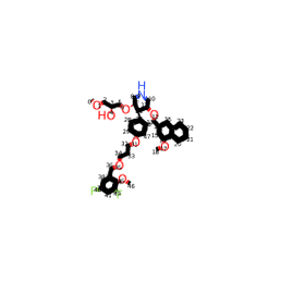 COC[C@@H](O)CO[C@@H]1CNCC(OCc2cc(OC)c3ccccc3c2)[C@H]1c1ccc(OCCCOCc2cc(F)cc(F)c2OC)cc1